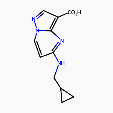 O=C(O)c1cnn2ccc(NCC3CC3)nc12